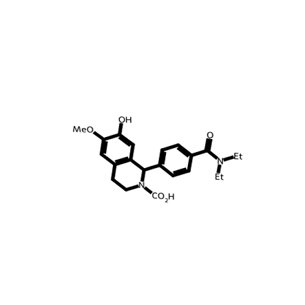 CCN(CC)C(=O)c1ccc(C2c3cc(O)c(OC)cc3CCN2C(=O)O)cc1